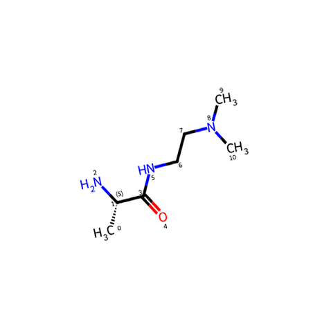 C[C@H](N)C(=O)NCCN(C)C